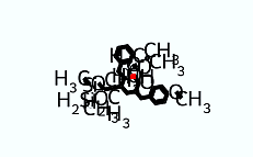 COc1ccc(CC(CC(C(Cc2ccccc2)NC(=O)OC(C)(C)C)C(C)(C)C(O[SiH2]C)O[SiH2]C)C(=O)O)cc1